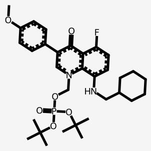 COc1ccc(-c2cn(COP(=O)(OC(C)(C)C)OC(C)(C)C)c3c(NCC4CCCCC4)ccc(F)c3c2=O)cc1